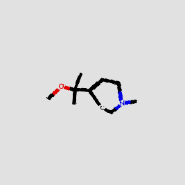 COC(C)(C)C1CCN(C)CC1